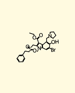 CCOC(=O)c1c(CS(=O)(=O)CCc2ccccc2)n(C)c2cc(Br)c(O)c(CN3CCCC3)c12